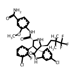 COc1cc(C(N)=O)ccc1NC(=O)[C@@H]1N[C@@H](CCC(C)(C)C(F)(F)F)[C@@]2(C(=O)Nc3cc(Cl)ccc32)[C@H]1c1cccc(Cl)c1F